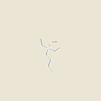 CCCC[N+](CC)(CC)OC